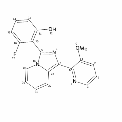 COc1cccnc1-c1nc(-c2c(O)cccc2F)n2ccccc12